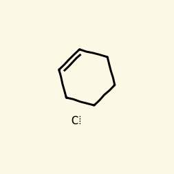 C1=CCCCC1.[C]